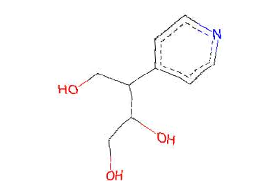 OCC(O)C(CO)c1ccncc1